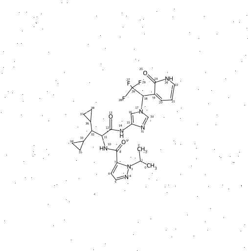 CC(C)n1nccc1C(=O)NC(C(=O)Nc1cn(C(c2ccc[nH]c2=O)C(F)(F)F)cn1)C(C1CC1)C1CC1